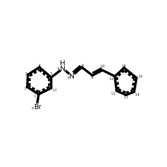 Brc1cccc(NN=CC=Cc2ccccc2)c1